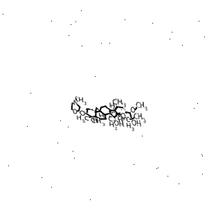 CCO[C@@H]([C@H]1C[C@@H](C)[C@H]2[C@H](O1)[C@H](O)[C@@]1(C)[C@@H]3CC[C@H]4C(C)(C)[C@@H](OC5CN(C)CCO5)CC[C@@]45C[C@@]35CC[C@]21C)C(C)(C)O